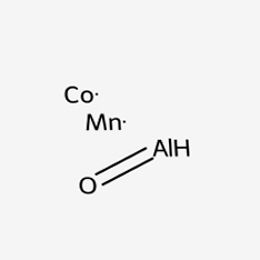 [Co].[Mn].[O]=[AlH]